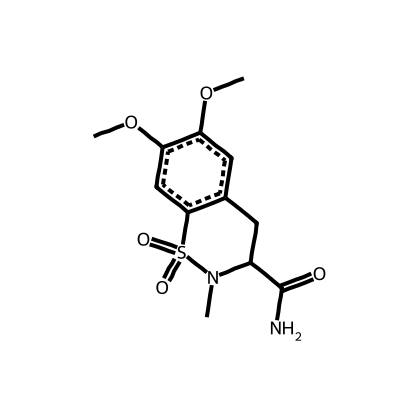 COc1cc2c(cc1OC)S(=O)(=O)N(C)C(C(N)=O)C2